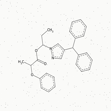 CCC(OC(=O)C(C)Oc1ccccc1)n1cc(C(c2ccccc2)c2ccccc2)cn1